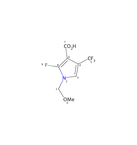 COCn1cc(C(F)(F)F)c(C(=O)O)c1F